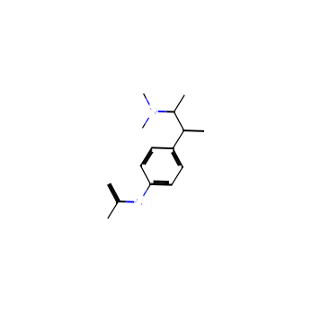 C=C(C)Nc1ccc(C(C)C(C)N(C)C)cc1